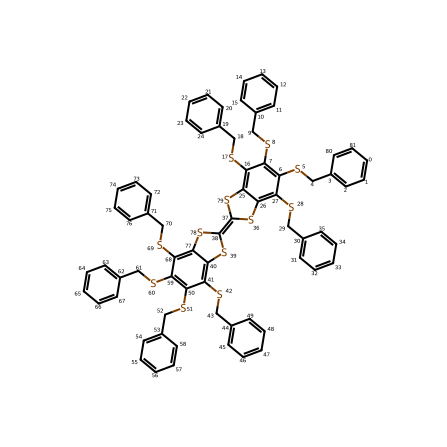 c1ccc(CSc2c(SCc3ccccc3)c(SCc3ccccc3)c3c(c2SCc2ccccc2)SC(=C2Sc4c(SCc5ccccc5)c(SCc5ccccc5)c(SCc5ccccc5)c(SCc5ccccc5)c4S2)S3)cc1